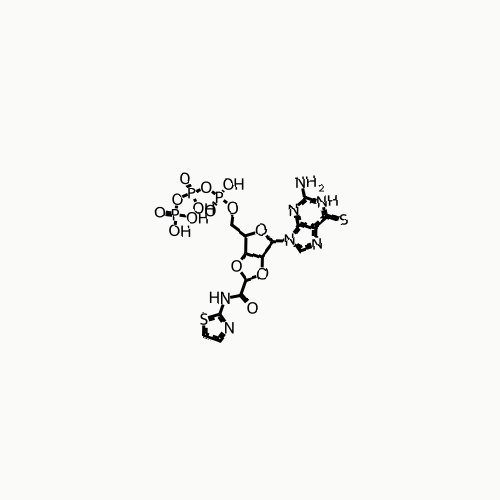 Nc1nc2c(ncn2C2OC(COP(=O)(O)OP(=O)(O)OP(=O)(O)O)C3OC(C(=O)Nc4nccs4)OC32)c(=S)[nH]1